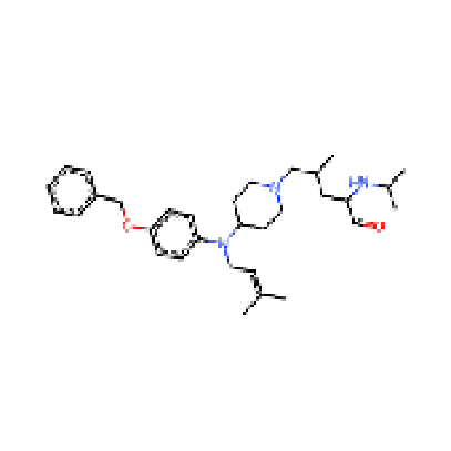 CC(C)=CCN(c1ccc(OCc2ccccc2)cc1)C1CCN(CC(C)CC(C=O)NC(C)C)CC1